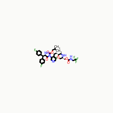 CC(C)COC(=O)N(C(=O)[C@@H](N)C(c1ccc(F)cc1)c1ccc(F)cc1)c1cncc(F)c1CC[C@@H]1CN[C@H](COC(=O)NCC(F)(F)F)CO1